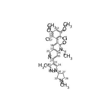 CCn1c(=O)c(-c2c(Cl)c(OC)cc(OC)c2Cl)cc2cnc(-c3cn(C4CCN(C)C4)nc3C)cc21